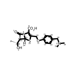 C[C@@H](O)[C@H]1C(=O)N2C(C(=O)O)=C(COc3ccc(CN(C)C)cc3)S[C@H]12